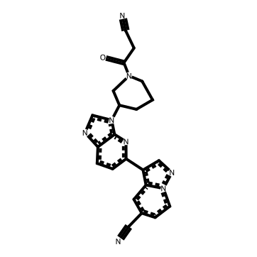 N#CCC(=O)N1CCCC(n2cnc3ccc(-c4cnn5ccc(C#N)cc45)nc32)C1